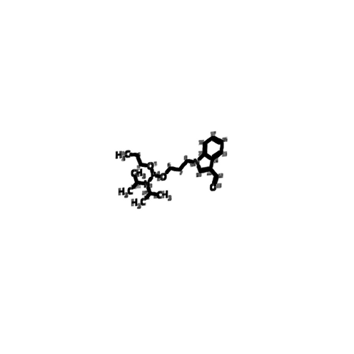 CCCOP(OCCCn1cc(C=O)c2ccccc21)N(C(C)C)C(C)C